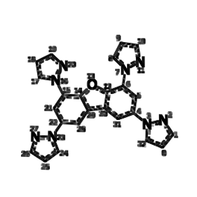 c1cnn(-c2cc(-n3cccn3)c3oc4c(-n5cccn5)cc(-n5cccn5)cc4c3c2)c1